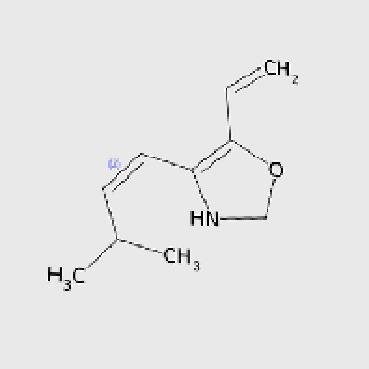 C=CC1=C(/C=C\C(C)C)NCO1